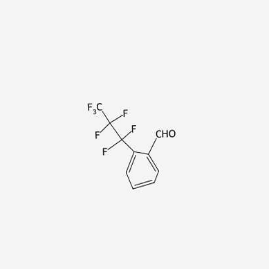 O=Cc1ccccc1C(F)(F)C(F)(F)C(F)(F)F